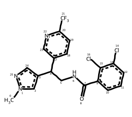 Cn1cc(C(CNC(=O)c2cccc(Cl)c2Cl)c2ccc(C(F)(F)F)nc2)cn1